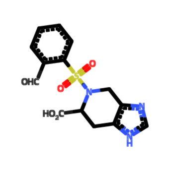 O=Cc1ccccc1S(=O)(=O)N1Cc2nc[nH]c2CC1C(=O)O